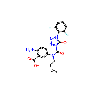 CCCN(C(=O)n1nnn(-c2c(F)cccc2F)c1=O)c1ccc(N)c(C(=O)O)c1